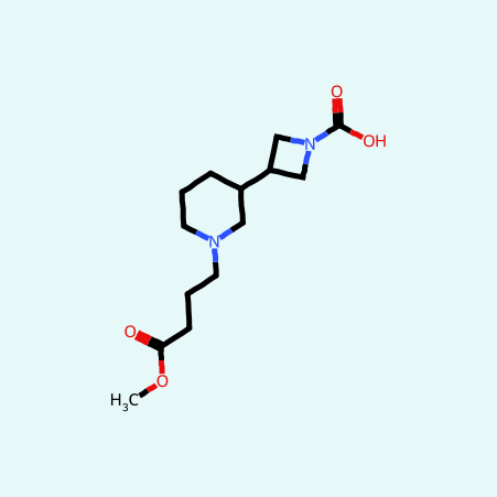 COC(=O)CCCN1CCCC(C2CN(C(=O)O)C2)C1